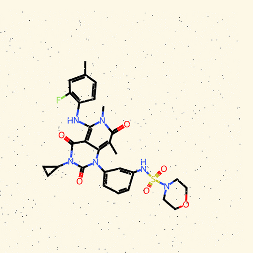 Cc1ccc(Nc2c3c(=O)n(C4CC4)c(=O)n(-c4cccc(NS(=O)(=O)N5CCOCC5)c4)c3c(C)c(=O)n2C)c(F)c1